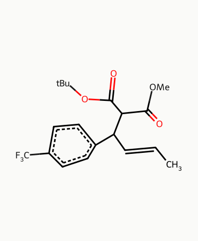 CC=CC(c1ccc(C(F)(F)F)cc1)C(C(=O)OC)C(=O)OC(C)(C)C